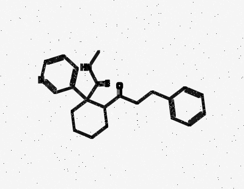 CNC(=S)C1(c2cccnc2)CCCCC1C(=O)CCc1ccccc1